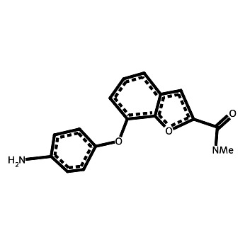 CNC(=O)c1cc2cccc(Oc3ccc(N)cc3)c2o1